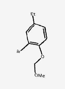 [CH2]Cc1ccc(OCOC)c(Br)c1